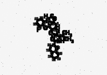 COC(=O)CC(NC(=O)C(NC(=O)c1ccc2ccccc2n1)C(C)C)C(=O)COc1c(F)cccc1F